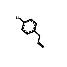 [Li][c]1ccc(CC=C)cc1